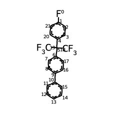 Fc1ccc(C(c2ccc(-c3ccccc3)cc2)(C(F)(F)F)C(F)(F)F)cc1